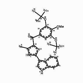 [2H]c1[nH]c(-c2c[nH]c3ccccc23)nc1C(=O)c1cc(OC([2H])([2H])[2H])c(OC)c(OC([2H])([2H])[2H])c1